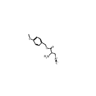 [C-]#[N+]CC(N)C(=O)OCc1ccc(OC)cc1